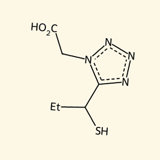 [CH2]CC(S)c1nnnn1CC(=O)O